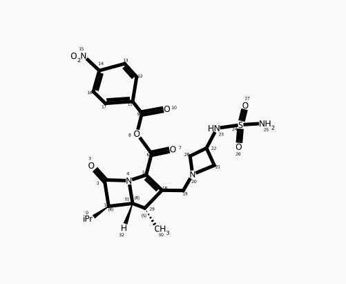 CC(C)[C@H]1C(=O)N2C(C(=O)OC(=O)c3ccc([N+](=O)[O-])cc3)=C(CN3CC(NS(N)(=O)=O)C3)[C@H](C)[C@H]12